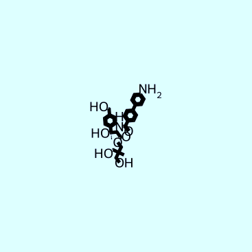 CC(CO)(CO)COC(=O)[C@@H](NC(=O)c1ccc(-c2ccc(N)cc2)cc1)[C@@](C)(O)c1ccc(CO)cc1